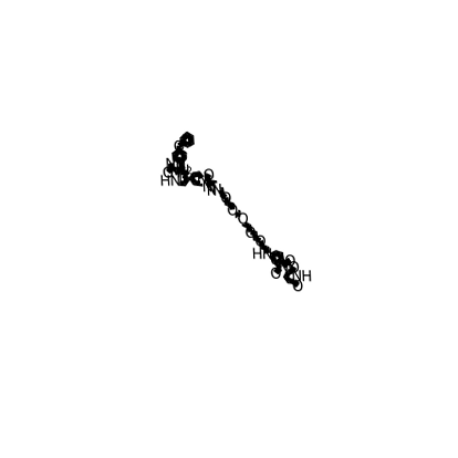 NC(=O)c1c(-c2ccc(Oc3ccccc3)cc2)nn2c1NCC[C@H]2C1CCN(C(=O)c2cn(CCOCCOCCOCCOCCOCCNc3ccc4c(c3)C(=O)N(C3CCC(=O)NC3=O)C4=O)nn2)CC1